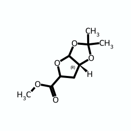 COC(=O)C1C[C@H]2OC(C)(C)OC2O1